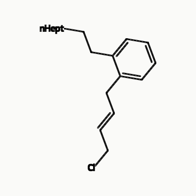 CCCCCCCCCc1ccccc1CC=CCCl